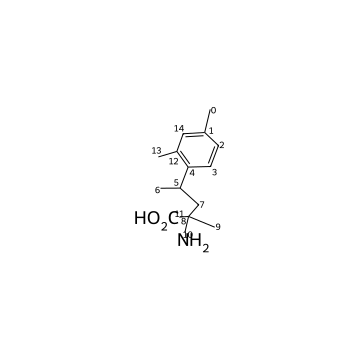 Cc1ccc(C(C)CC(C)(N)C(=O)O)c(C)c1